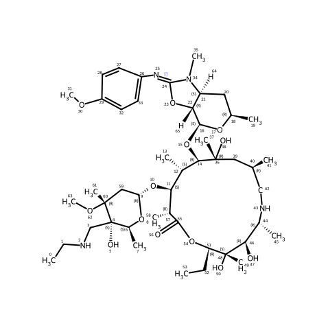 CCNC[C@]1(O)[C@H](C)O[C@@H](O[C@H]2[C@H](C)[C@@H](O[C@@H]3O[C@H](C)C[C@H]4[C@H]3O/C(=N\c3ccc(OC)cc3)N4C)[C@](C)(O)C[C@@H](C)CN[C@H](C)[C@@H](O)[C@](C)(O)[C@@H](CC)OC(=O)[C@@H]2C)C[C@@]1(C)OC